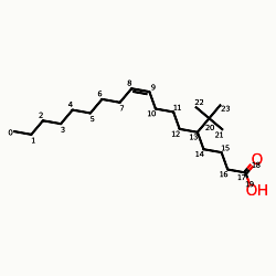 CCCCCCCC/C=C\CCCC(CCCC(=O)O)C(C)(C)C